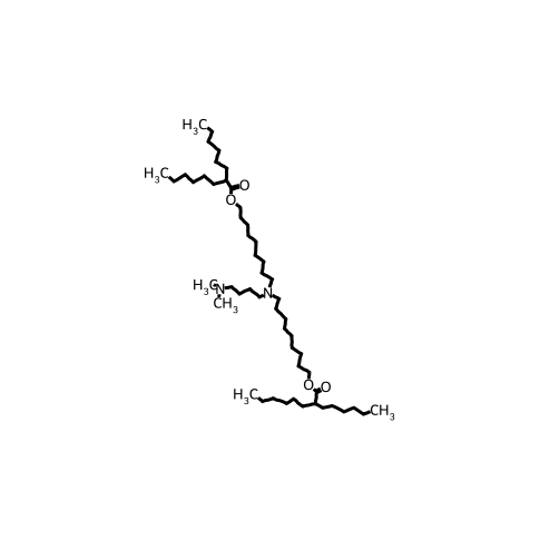 CCCCCCC(CCCCCC)C(=O)OCCCCCCCCCN(CCCCCCCCCOC(=O)C(CCCCCC)CCCCCC)CCCCN(C)C